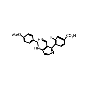 COc1ccc(CNc2ccnc(-c3ccc(C(=O)O)cc3F)c2C=N)cc1